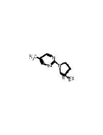 CC[C@@H]1CCN(c2ncc(C)cn2)C1